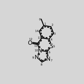 Cc1ccc2sc3ncnn3c(=O)c2c1